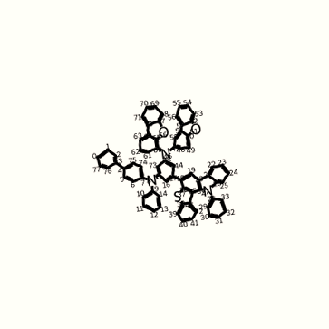 c1ccc(-c2ccc(N(c3ccccc3)c3cc(-c4cc5c6ccccc6n(-c6ccccc6)c5c5c4sc4ccccc45)cc(N(c4ccc5oc6ccccc6c5c4)c4cccc5c4oc4ccccc45)c3)cc2)cc1